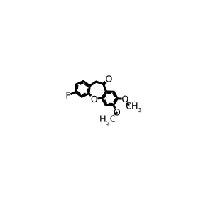 COc1cc2c(cc1OC)C(=O)Cc1ccc(F)cc1O2